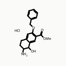 COC(=O)c1cc2c(cc1OCc1ccccc1)CCC(N)C2O.Cl